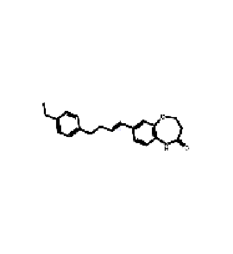 CCc1ccc(CC/C=C/c2ccc3c(c2)OCCC(=O)N3)cc1